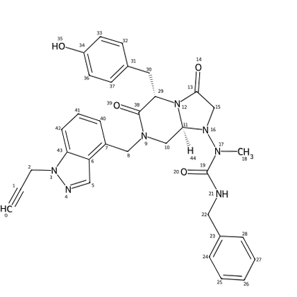 C#CCn1ncc2c(CN3C[C@H]4N(C(=O)CN4N(C)C(=O)NCc4ccccc4)[C@@H](Cc4ccc(O)cc4)C3=O)cccc21